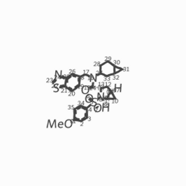 COc1ccc(S(=O)(=O)N2[C@@H]3C[C@@H]3C[C@H]2C(=O)N(Cc2ccc3scnc3c2)C2CCC3CC3C2)cc1